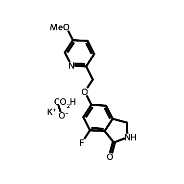 COc1ccc(COc2cc(F)c3c(c2)CNC3=O)nc1.O=C([O-])O.[K+]